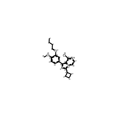 CCCCOc1cc(-c2nc(C3CCC3)n3ccnc(Cl)c23)ccc1OC